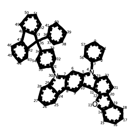 c1ccc(-n2c3cc4c(cc3c3c5oc6ccccc6c5ccc32)c2ccccc2n4-c2ccc(C3(c4ccccc4)c4ccccc4-c4ccccc43)cc2)cc1